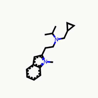 CC(C)N(CCc1cc2ccccc2n1C)CC1CC1